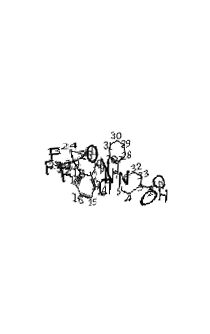 O=C(O)C1CCN(c2nn(C(=O)c3c(Cl)cccc3C3(C(F)(F)F)CC3)c3c2CCCC3)CC1